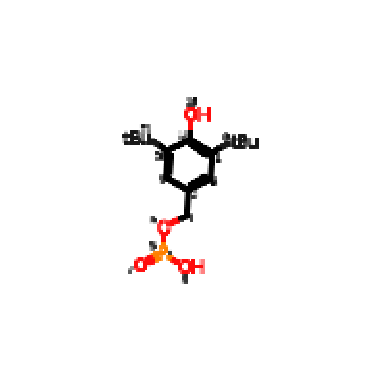 CC(C)(C)c1cc(CO[P](=O)O)cc(C(C)(C)C)c1O